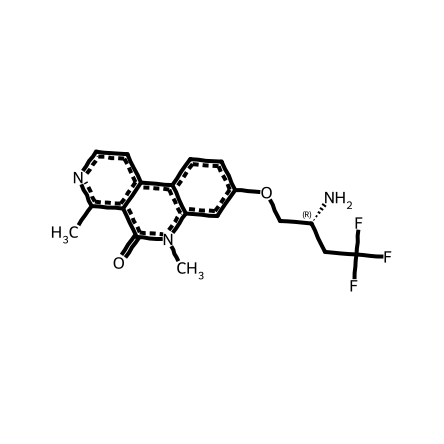 Cc1nccc2c1c(=O)n(C)c1cc(OC[C@H](N)CC(F)(F)F)ccc21